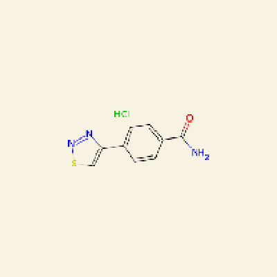 Cl.NC(=O)c1ccc(-c2csnn2)cc1